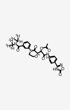 [2H]C([2H])([2H])N(C(=O)c1cccc(N2CCO[C@H]([C@@H](OC(C)=O)C(=O)Nc3ccc(-c4noc(=O)[nH]4)cc3)C2=O)c1)C([2H])([2H])[2H]